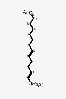 CCCCCCCC=CCCC=CCCCCCCOC(C)=O